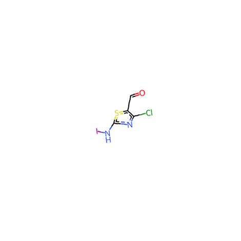 O=Cc1sc(NI)nc1Cl